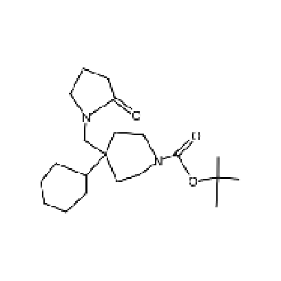 CC(C)(C)OC(=O)N1CCC(CN2CCCC2=O)(C2CCCCC2)CC1